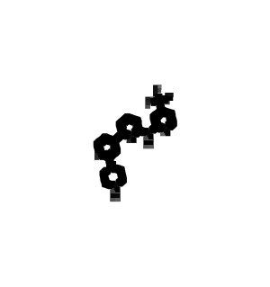 FC(F)(F)c1ccnc(Nc2cccc(-c3ccnc(N4CCNCC4)c3)n2)c1